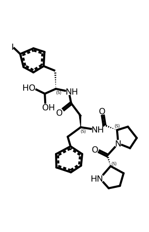 O=C(C[C@H](Cc1ccccc1)NC(=O)[C@@H]1CCCN1C(=O)[C@@H]1CCCN1)N[C@@H](Cc1ccc(I)cc1)C(O)O